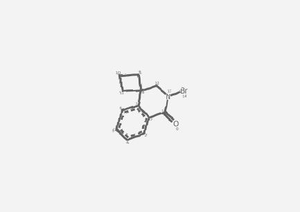 O=C1c2ccccc2C2(CCC2)CN1Br